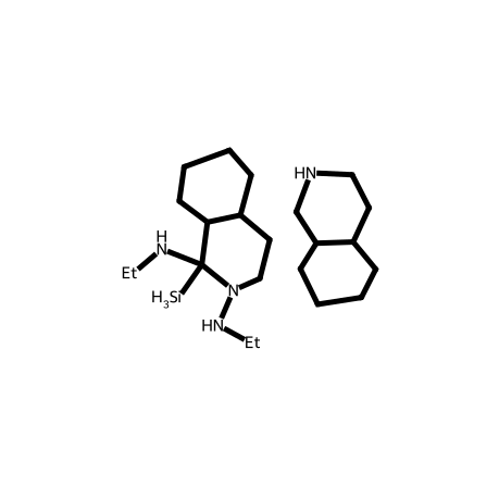 C1CCC2CNCCC2C1.CCNN1CCC2CCCCC2C1([SiH3])NCC